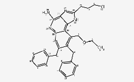 CCOCc1c(Cc2ccccc2)c(Cc2ccccc2)cc2nc(N)c3nc(CCCCl)[nH]c3c12